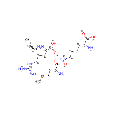 CSCCC(N)C(=O)O.N=C(N)NCCCC(N)C(=O)O.NCCCCC(N)C(=O)O.[Cu].[Fe].[Mn].[Zn]